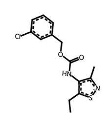 CCc1snc(C)c1NC(=O)OCc1cccc(Cl)c1